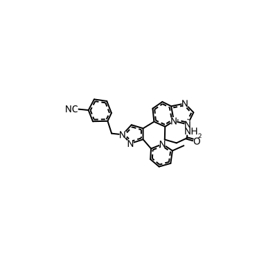 Cc1cccc(-c2nn(Cc3cccc(C#N)c3)cc2-c2ccc3ncnn3c2CCC(N)=O)n1